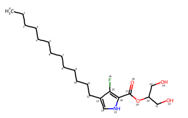 CCCCCCCCCCCCCc1c[nH]c(C(=O)OC(CO)CO)c1F